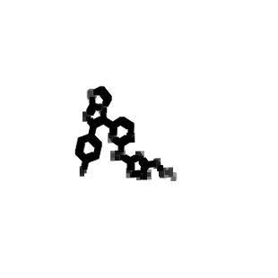 CSc1nc(Nc2nccc(-c3c(-c4ccc(F)cc4)nc4occn34)n2)n[nH]1